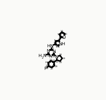 Nc1nc(Nc2cc(-c3ccco3)[nH]n2)nc(N2CCCC2c2ccc(F)cc2)n1